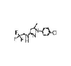 CC1CC(NCC(F)(F)F)=NN1c1ccc(Cl)cc1